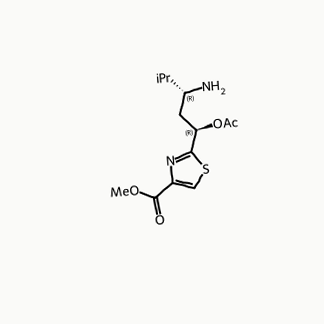 COC(=O)c1csc([C@@H](C[C@@H](N)C(C)C)OC(C)=O)n1